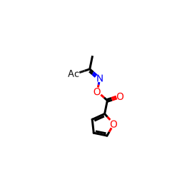 CC(=O)/C(C)=N\OC(=O)c1ccco1